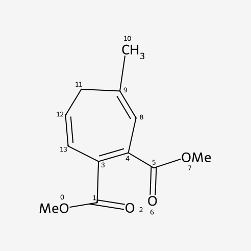 COC(=O)C1=C(C(=O)OC)C=C(C)CC=C1